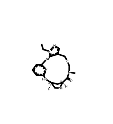 CCn1ncc2c1Nc1cccc(n1)N[C@@H]1CN[C@@H](C1)C(=O)N(C)CCC2